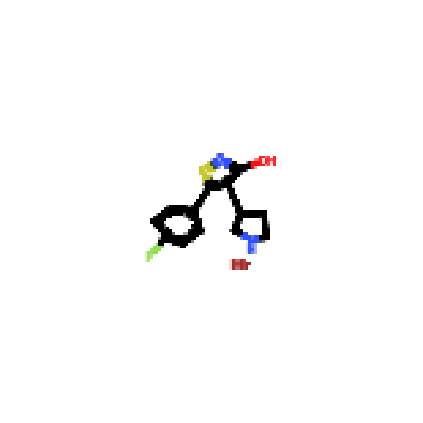 Br.Oc1nsc(-c2ccc(F)cc2)c1C1CCNC1